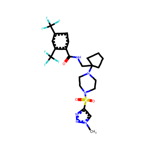 Cn1cc(S(=O)(=O)N2CCN(C3(CNC(=O)c4ccc(C(F)(F)F)cc4C(F)(F)F)CCCC3)CC2)nn1